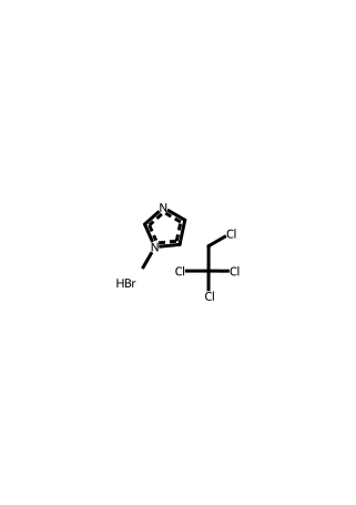 Br.ClCC(Cl)(Cl)Cl.Cn1ccnc1